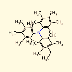 CCc1c(C)c(C)c(N(c2c(C)c(C)c(C)c(C)c2C)c2c(C)c(C)c(C)c(C)c2C)c(C)c1C